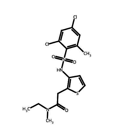 CCN(C)C(=O)Cc1sccc1NS(=O)(=O)c1c(C)cc(Cl)cc1Cl